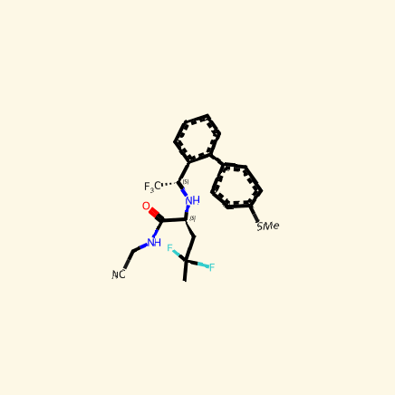 CSc1ccc(-c2ccccc2[C@H](N[C@@H](CC(C)(F)F)C(=O)NCC#N)C(F)(F)F)cc1